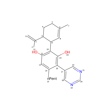 C=C(C)C1CCC(C)=CC1c1c(O)cc(CCCCC)c(-c2cncnc2)c1O